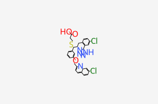 O=C(O)CCSC(CCc1ccc(Cl)cc1-c1nnn[nH]1)c1cccc(OCc2ccc3ccc(Cl)cc3n2)c1